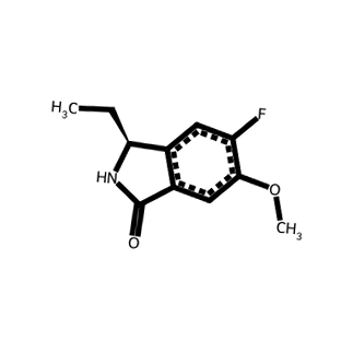 CC[C@@H]1NC(=O)c2cc(OC)c(F)cc21